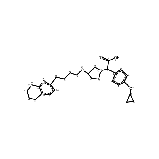 O=C(O)C(c1ccc(OC2CC2)cc1)N1CCC(OCCCCc2ccc3c(n2)NCCC3)C1